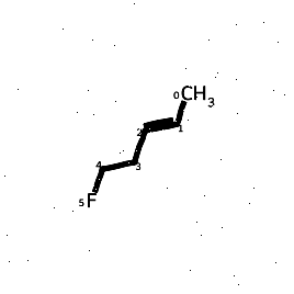 C/C=C/CCF